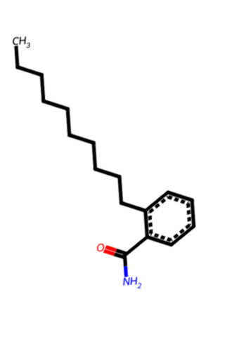 CCCCCCCCCCc1ccccc1C(N)=O